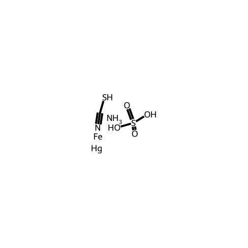 N.N#CS.O=S(=O)(O)O.[Fe].[Hg]